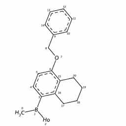 C[B]([Ho])c1ccc(OCc2ccccc2)c2c1CCCC2